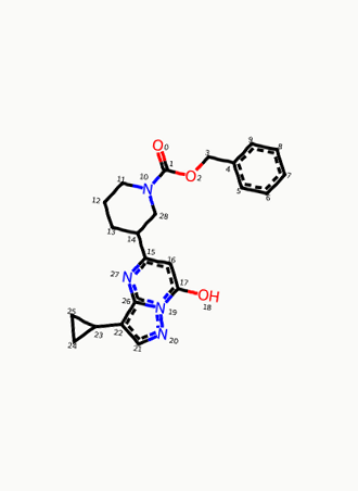 O=C(OCc1ccccc1)N1CCCC(c2cc(O)n3ncc(C4CC4)c3n2)C1